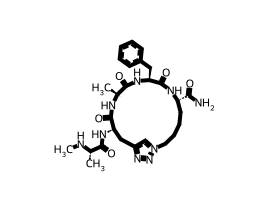 CN[C@@H](C)C(=O)N[C@H]1Cc2cn(nn2)CCCC[C@@H](C(N)=O)NC(=O)[C@H](Cc2ccccc2)NC(=O)[C@H](C)NC1=O